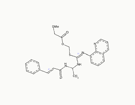 COCC(=O)OCS/C(=N/c1cccc2cccnc12)NC(NC(=O)/C=C/c1ccccc1)C(Cl)(Cl)Cl